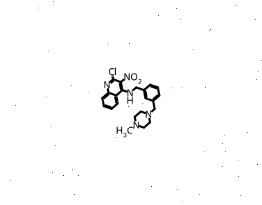 CN1CCN(Cc2cccc(CNc3c([N+](=O)[O-])c(Cl)nc4ccccc34)c2)CC1